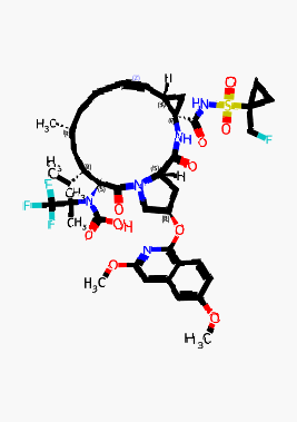 CC[C@@H]1C[C@H](C)CC/C=C\[C@@H]2C[C@@]2(C(=O)NS(=O)(=O)C2(CF)CC2)NC(=O)[C@@H]2C[C@@H](Oc3nc(OC)cc4cc(OC)ccc34)CN2C(=O)[C@H]1N(C(=O)O)C(C)(C)C(F)(F)F